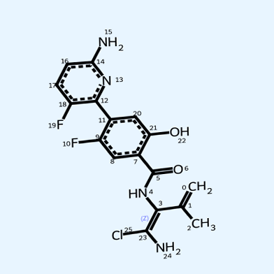 C=C(C)/C(NC(=O)c1cc(F)c(-c2nc(N)ccc2F)cc1O)=C(\N)Cl